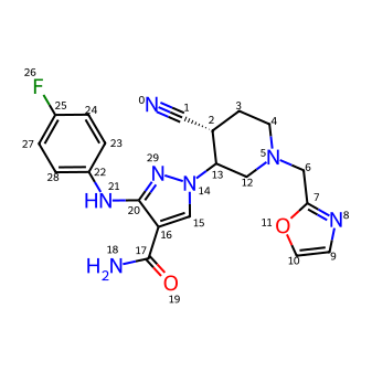 N#C[C@@H]1CCN(Cc2ncco2)CC1n1cc(C(N)=O)c(Nc2ccc(F)cc2)n1